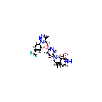 Cc1nnn(-c2ccc(C(F)F)cc2)c1COc1ccc(N2CC[C@H]3CCNC(=O)[C@H]3C2)nn1